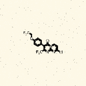 O=c1c(-c2ccc(OCC(F)(F)F)cc2)c(C(F)(F)F)nc2nc(Cl)ccn12